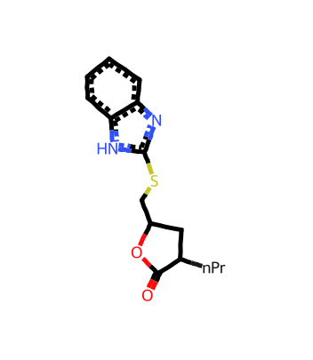 CCCC1CC(CSc2nc3ccccc3[nH]2)OC1=O